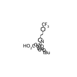 CC(C)(C)OC(=O)ON(c1ccc(/C=C/c2ccc(C(F)(F)F)cc2)cn1)N(OC(=O)O)C(C)(C)C